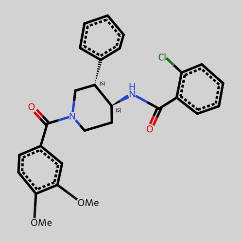 COc1ccc(C(=O)N2CC[C@H](NC(=O)c3ccccc3Cl)[C@@H](c3ccccc3)C2)cc1OC